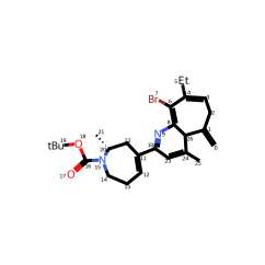 C=C1CC=C(CC)C(Br)=C2N=C(C3=CCCN(C(=O)OC(C)(C)C)[C@H](C)C3)C=C(C)C12